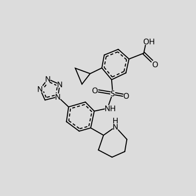 O=C(O)c1ccc(C2CC2)c(S(=O)(=O)Nc2cc(-n3cnnn3)ccc2C2CCCCN2)c1